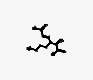 C=C(C(=O)O)C(C=CC(=O)O)CCCC